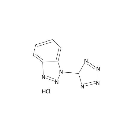 Cl.c1ccc2c(c1)nnn2C1N=NN=N1